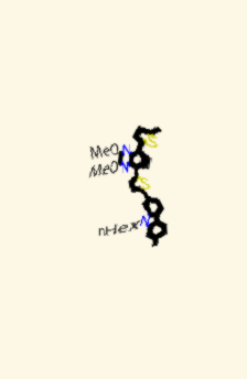 CCCCCCn1c2cc(C)ccc2c2ccc(-c3ccc(-c4ccc(-c5ccc(C)s5)c5nc(OC)c(OC)nc45)s3)cc21